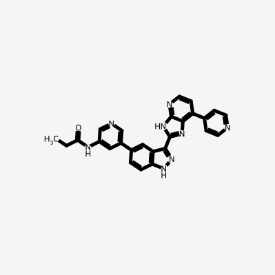 CCC(=O)Nc1cncc(-c2ccc3[nH]nc(-c4nc5c(-c6ccncc6)ccnc5[nH]4)c3c2)c1